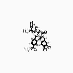 CCN(N=C(N)N)c1nc(=O)n(Cc2ccc(Cl)c(Cl)c2)c(=O)n1Cc1ccc(C(N)=O)cc1